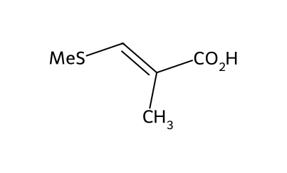 CSC=C(C)C(=O)O